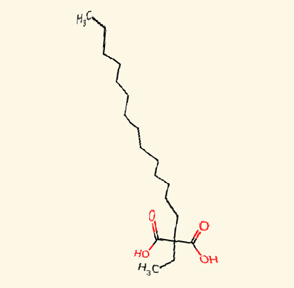 CCCCCCCCCCCCCCC(CC)(C(=O)O)C(=O)O